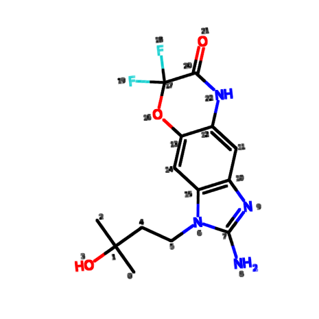 CC(C)(O)CCn1c(N)nc2cc3c(cc21)OC(F)(F)C(=O)N3